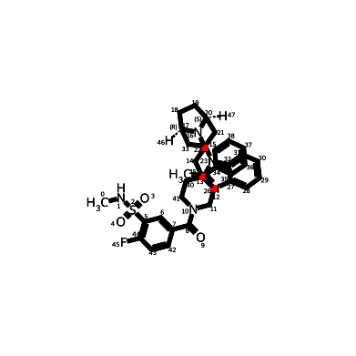 CNS(=O)(=O)c1cc(C(=O)N2CCC(CCN3[C@@H]4CC[C@H]3CC(n3c(C)nc5ccccc53)C4)(c3ccccc3)CC2)ccc1F